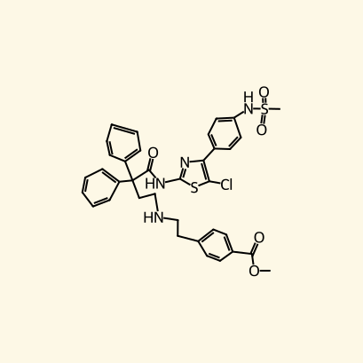 COC(=O)c1ccc(CCNCCC(C(=O)Nc2nc(-c3ccc(NS(C)(=O)=O)cc3)c(Cl)s2)(c2ccccc2)c2ccccc2)cc1